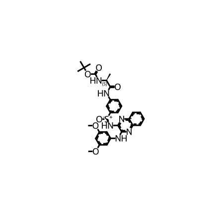 COc1cc(Nc2nc3ccccc3nc2N[S+]([O-])c2cccc(NC(=O)[C@H](C)NC(=O)OC(C)(C)C)c2)cc(OC)c1